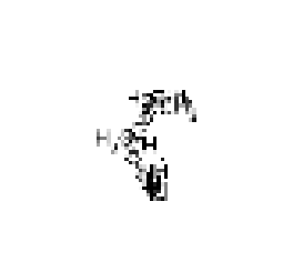 CC(C)(C)OC(=O)N1CCC2(CC1)CCN(C(C)(C)Cc1ccc(-c3cc4cnc(Cl)nc4[nH]3)cc1)CC2